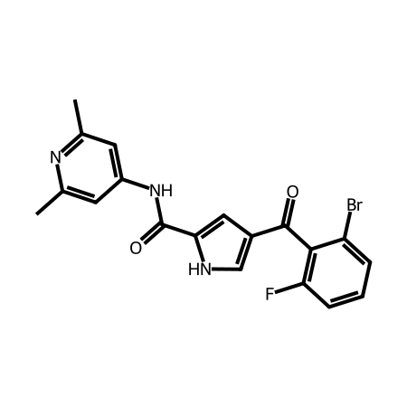 Cc1cc(NC(=O)c2cc(C(=O)c3c(F)cccc3Br)c[nH]2)cc(C)n1